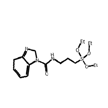 CCO[Si](CCCNC(=O)N1CN=C2CC=CC=C21)(OCC)OCC